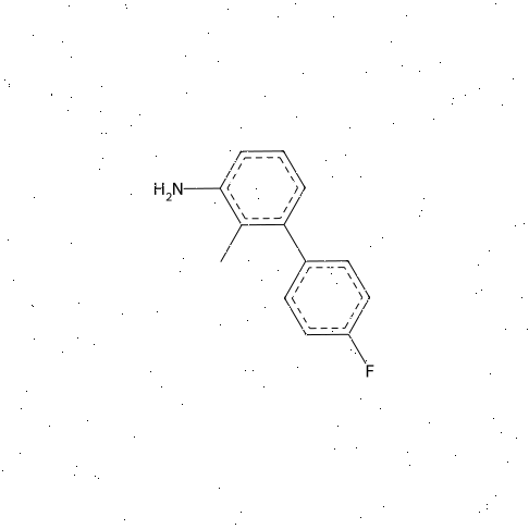 Cc1c(N)cccc1-c1ccc(F)cc1